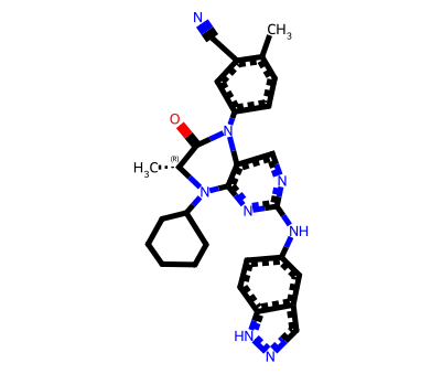 Cc1ccc(N2C(=O)[C@@H](C)N(C3CCCCC3)c3nc(Nc4ccc5[nH]ncc5c4)ncc32)cc1C#N